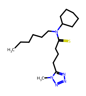 CCCCCCN(C(=S)CCCc1nnnn1C)C1CCCCC1